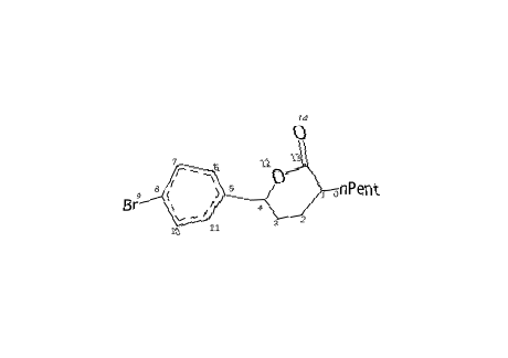 CCCCCC1CCC(c2ccc(Br)cc2)OC1=O